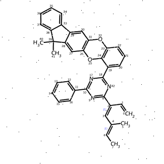 C=C/C(=C\C(C)=C\C)c1nc(-c2ccccc2)nc(-c2cccc3c2Oc2cc4c(cc2O3)-c2ccccc2C4(C)C)n1